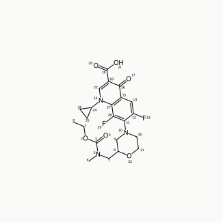 CCOC(=O)N(C)CC1CN(c2c(F)cc3c(=O)c(C(=O)O)cn(C4CC4)c3c2F)CCO1